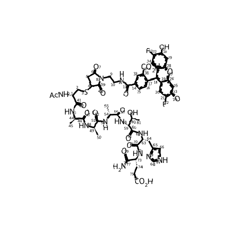 CC(=O)N[C@H](CSC1CC(=O)N(CCNC(=O)c2ccc(-c3c4cc(F)c(=O)cc-4oc4cc(O)c(F)cc34)c(C(=O)O)c2)C1=O)C(=O)N[C@H](C)C(=O)N[C@H](C)C(=O)N[C@H](C)C(=O)N[C@@H](C(=O)N[C@H](Cc1c[nH]cn1)C(=O)N[C@H](CCC(=O)O)C(N)=O)[C@H](C)O